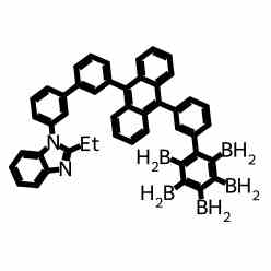 Bc1c(B)c(B)c(-c2cccc(-c3c4ccccc4c(-c4cccc(-c5cccc(-n6c(CC)nc7ccccc76)c5)c4)c4ccccc34)c2)c(B)c1B